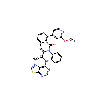 COc1cc(-c2cccc3cc([C@H](C)Nc4ncnc5scnc45)n(-c4ccccc4)c(=O)c23)ccn1